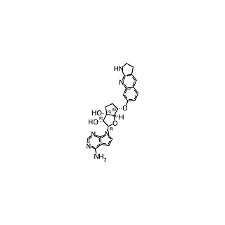 Nc1ncnc2c1ccn2[C@@H]1O[C@@H]2[C@@H](Oc3ccc4cc5c(nc4c3)NCC5)CC[C@]2(O)[C@H]1O